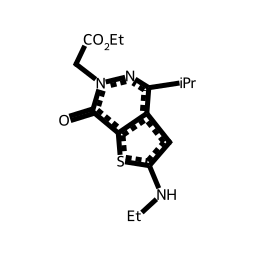 CCNc1cc2c(C(C)C)nn(CC(=O)OCC)c(=O)c2s1